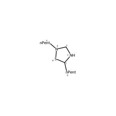 CCCCCC1NCN(CCCCC)S1